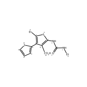 CCNC(=O)Nc1sc(CC)c(-c2cccs2)c1C(=O)O